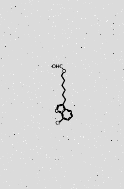 O=[C]OCCCCCCc1coc2c(Cl)cccc12